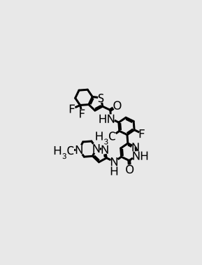 Cc1c(NC(=O)c2cc3c(s2)CCCC3(F)F)ccc(F)c1-c1cc(Nc2cc3n(n2)CCN(C)C3)c(=O)[nH]n1